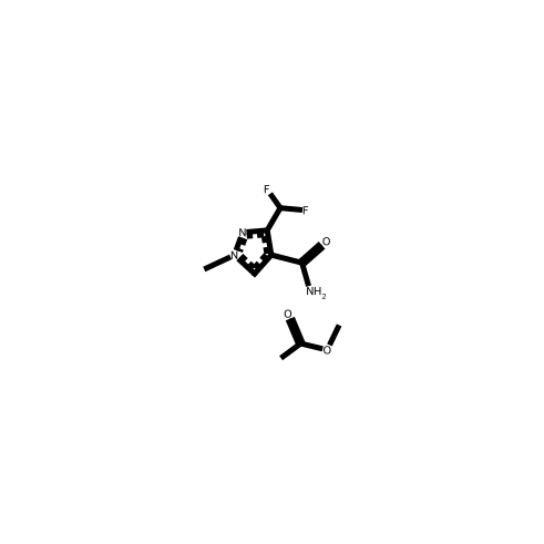 COC(C)=O.Cn1cc(C(N)=O)c(C(F)F)n1